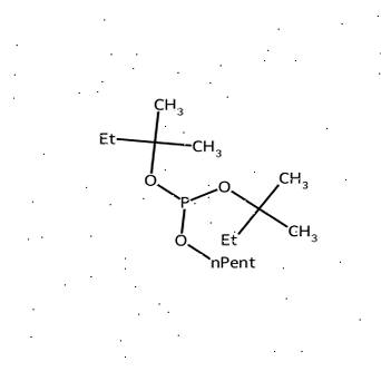 CCCCCOP(OC(C)(C)CC)OC(C)(C)CC